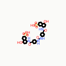 O=C(Nc1ccc(C(=O)Nc2ccc(O)c3ccc(S(=O)(=O)O)cc23)cc1)Nc1ccc(C(=O)Nc2ccc(O)c3ccc(S(=O)(=O)O)cc23)cc1